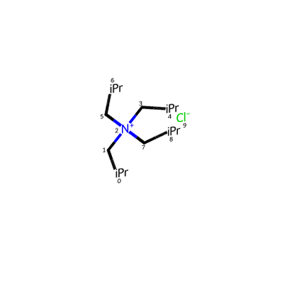 CC(C)C[N+](CC(C)C)(CC(C)C)CC(C)C.[Cl-]